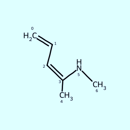 C=CC=C(C)NC